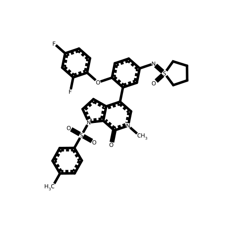 Cc1ccc(S(=O)(=O)n2ccc3c(-c4cc(N=S5(=O)CCCC5)ccc4Oc4ccc(F)cc4F)cn(C)c(=O)c32)cc1